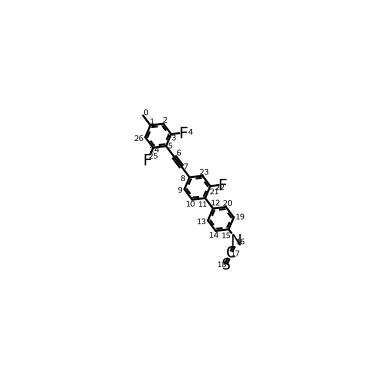 Cc1cc(F)c(C#Cc2ccc(-c3ccc(N=C=S)cc3)c(F)c2)c(F)c1